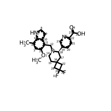 COc1cc(C)c2[nH]ccc2c1CN1CCC2(C[C@@H]1c1ccc(C(=O)O)nc1)CC(F)(F)C2